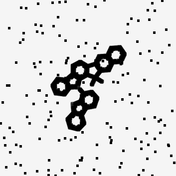 CC1(C)c2cc3ncccc3cc2-c2ccc3c4ccccc4n(-c4cccc5c4sc4ccccc45)c3c21